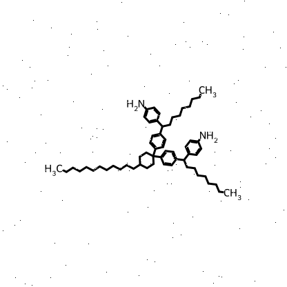 CCCCCCCCCCCCC1CCC(c2ccc(C(CCCCCCCC)c3ccc(N)cc3)cc2)(c2ccc(C(CCCCCCCC)c3ccc(N)cc3)cc2)CC1